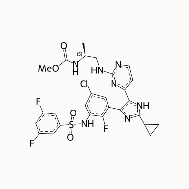 COC(=O)N[C@@H](C)CNc1nccc(-c2[nH]c(C3CC3)nc2-c2cc(Cl)cc(NS(=O)(=O)c3cc(F)cc(F)c3)c2F)n1